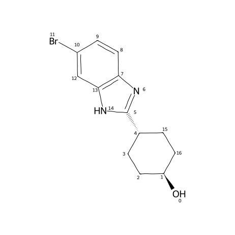 O[C@H]1CC[C@H](c2nc3ccc(Br)cc3[nH]2)CC1